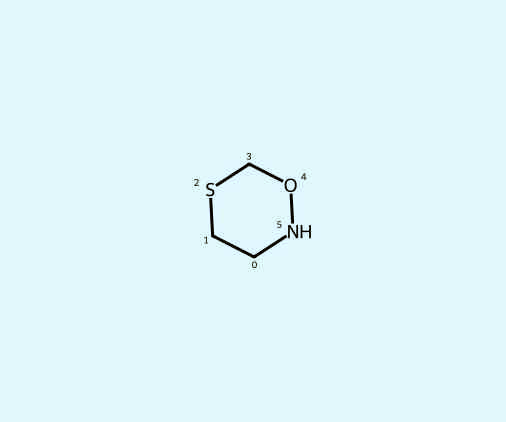 C1CSCON1